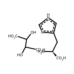 N[C@@H](Cc1c[nH]cn1)C(=O)O.O=C(O)C(O)C(O)C(=O)O